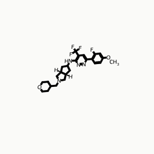 COc1ccc(-c2cc(C(F)(F)F)c(NC3C[C@@H]4CN(CC5CCOCC5)C[C@@H]4C3)nn2)c(F)c1